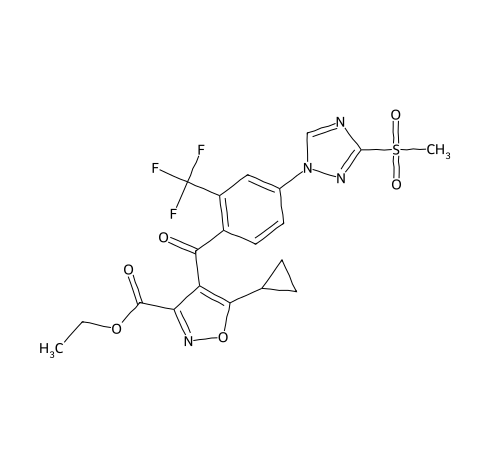 CCOC(=O)c1noc(C2CC2)c1C(=O)c1ccc(-n2cnc(S(C)(=O)=O)n2)cc1C(F)(F)F